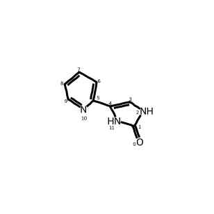 O=c1[nH]cc(-c2ccccn2)[nH]1